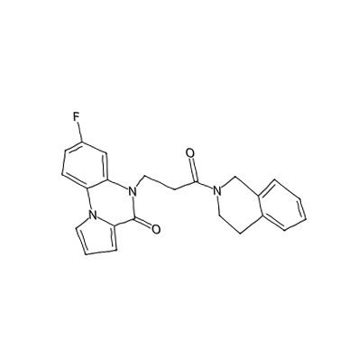 O=C(CCn1c(=O)c2cccn2c2ccc(F)cc21)N1CCc2ccccc2C1